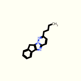 CCCCc1ccc2nc3c(n2n1)Cc1ccccc1-3